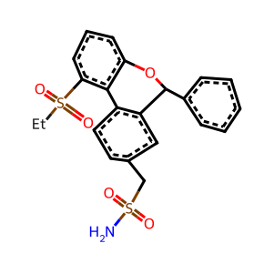 CCS(=O)(=O)c1cccc2c1-c1ccc(CS(N)(=O)=O)cc1C(c1ccccc1)O2